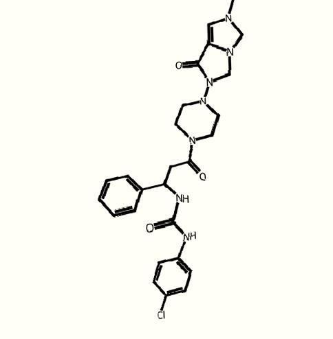 CN1C=C2C(=O)N(N3CCN(C(=O)CC(NC(=O)Nc4ccc(Cl)cc4)c4ccccc4)CC3)CN2C1